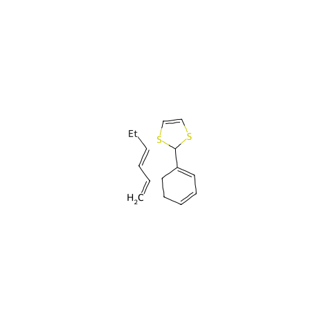 C1=CCCC(C2SC=CS2)=C1.C=CC=CCC